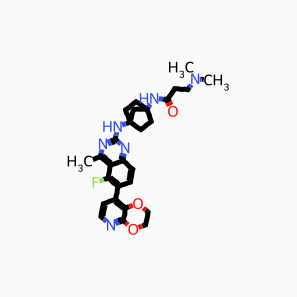 Cc1nc(NC23CCC(NC(=O)CCN(C)C)(CC2)C3)nc2ccc(-c3ccnc4c3OCCO4)c(F)c12